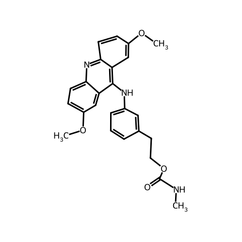 CNC(=O)OCCc1cccc(Nc2c3cc(OC)ccc3nc3ccc(OC)cc23)c1